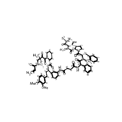 C=CC(=O)NCC(C)(C)C(=O)C(=O)N1CCCC[C@H]1C(=O)O[C@H](CCc1ccc(OC)c(OC)c1)c1cccc(NC(=O)CCC(=O)NC(C(=O)N(C)[C@@H](Cc2ccccc2)C(=O)N2CCC[C@@H]2C(=O)N(C)[C@@H](CC(C)C)C(=O)N(C)CC)c2ccccc2)c1